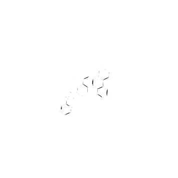 Cl.O=S(=O)(Nc1cnccn1)N1CCc2c(cccc2-c2ccc(C(F)(F)F)cc2C2=CCNCC2)C1